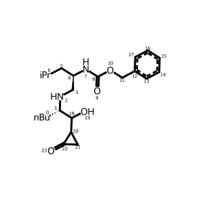 CCCC[C@H](NC[C@@H](CC(C)C)NC(=O)OCc1ccccc1)C(O)C1CC1=O